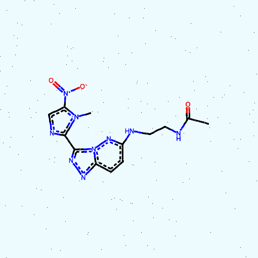 CC(=O)NCCNc1ccc2nnc(-c3ncc([N+](=O)[O-])n3C)n2n1